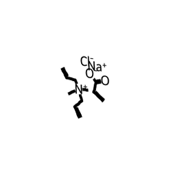 C=CC(=O)[O-].C=CC[N+](C)(C)CC=C.[Cl-].[Na+]